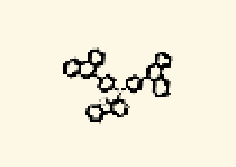 c1ccc2c(c1)cc(-c1ccc(N(c3ccc(-c4cc5ccccc5c5ccccc45)cc3)c3nccc4c3oc3ccccc34)cc1)c1ccccc12